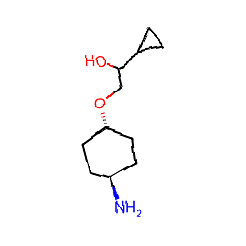 N[C@H]1CC[C@H](OCC(O)C2CC2)CC1